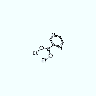 CCOB(OCC)c1cnccn1